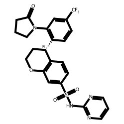 O=C1CCCN1c1cc(C(F)(F)F)ccc1[C@H]1CCOc2cc(S(=O)(=O)Nc3ncccn3)ccc21